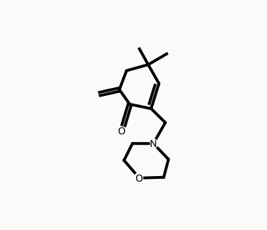 C=C1CC(C)(C)C=C(CN2CCOCC2)C1=O